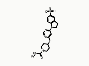 CC(C)NC(=O)N1CCC(Oc2cc(N3CCc4cc(S(C)(=O)=O)ccc43)ncn2)CC1